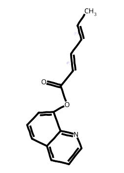 C/C=C/C=C/C(=O)Oc1cccc2cccnc12